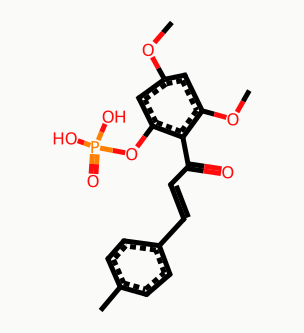 COc1cc(OC)c(C(=O)C=Cc2ccc(C)cc2)c(OP(=O)(O)O)c1